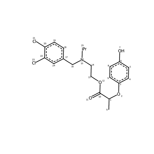 CC(Oc1ccc(O)cc1)C(=O)OCCN(Cc1ccc(Cl)c(Cl)c1)C(C)C